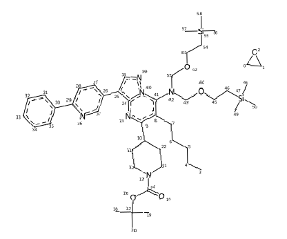 C1CO1.CCCCCc1c(C2CCN(C(=O)OC(C)(C)C)CC2)nc2c(-c3ccc(-c4ccccc4)nc3)cnn2c1N(COCC[Si](C)(C)C)COCC[Si](C)(C)C